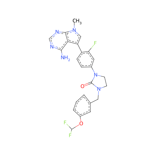 Cn1cc(-c2ccc(N3CCN(Cc4cccc(OC(F)F)c4)C3=O)cc2F)c2c(N)ncnc21